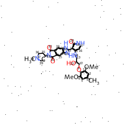 COc1cc(C)cc(OC)c1OCC(O)CNc1cc[nH]c(=O)c1-c1nc2cc3c(cc2[nH]1)C(=O)N(C1CCN(C)CC1)C3=O